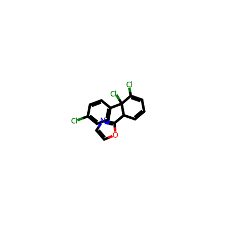 ClC1=CC=CC(c2ncco2)C1(Cl)c1ccc(Cl)cc1